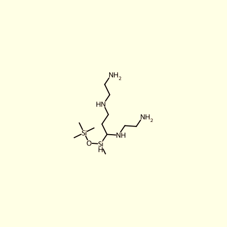 C[SiH](O[Si](C)(C)C)C(CCNCCN)NCCN